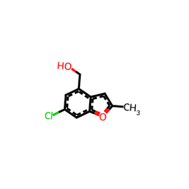 Cc1cc2c(CO)cc(Cl)cc2o1